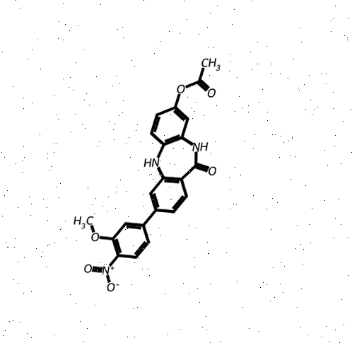 COc1cc(-c2ccc3c(c2)Nc2ccc(OC(C)=O)cc2NC3=O)ccc1[N+](=O)[O-]